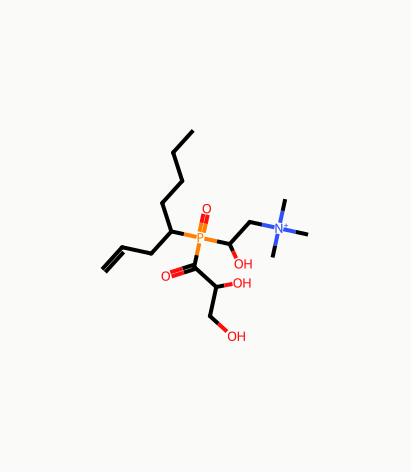 C=CCC(CCCC)P(=O)(C(=O)C(O)CO)C(O)C[N+](C)(C)C